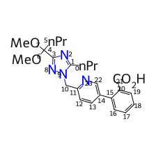 CCCc1nc(C(CCC)(OC)OC)nn1Cc1ccc(-c2ccccc2C(=O)O)cn1